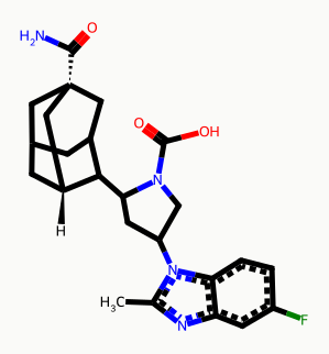 Cc1nc2cc(F)ccc2n1C1CC(C2C3CC4C[C@@H]2C[C@@](C(N)=O)(C4)C3)N(C(=O)O)C1